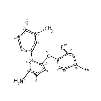 Cn1cc(-c2cc(N)ccc2Oc2ccc(F)cc2F)cnc1=O